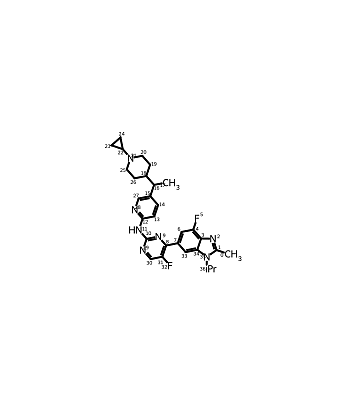 Cc1nc2c(F)cc(-c3nc(Nc4ccc(C(C)C5CCN(C6CC6)CC5)cn4)ncc3F)cc2n1C(C)C